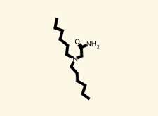 CCCCCCN(CCCCCC)CC(N)=O